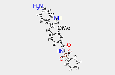 COc1cc(C(=O)NS(=O)(=O)c2ccccc2)ccc1Cc1c[nH]c2cc(N)ccc12